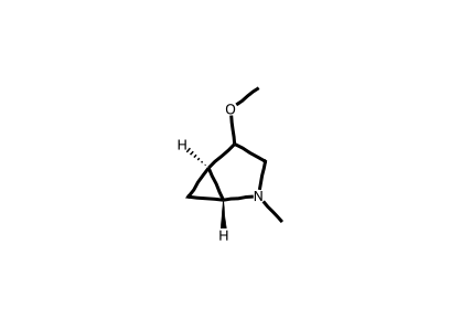 COC1CN(C)[C@@H]2C[C@@H]12